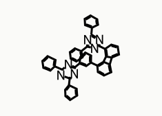 c1ccc(-c2nc(-c3ccccc3)nc(-c3cccc(-c4cccc5c4-c4c(-c6nc(-c7ccccc7)nc(-c7ccccc7)n6)cccc4-5)c3)n2)cc1